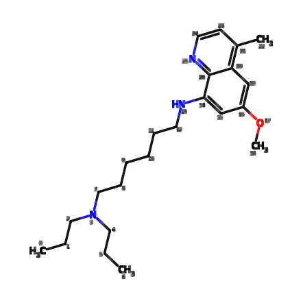 CCCN(CCC)CCCCCCNc1cc(OC)cc2c(C)ccnc12